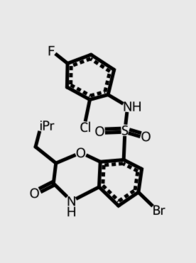 CC(C)CC1Oc2c(cc(Br)cc2S(=O)(=O)Nc2ccc(F)cc2Cl)NC1=O